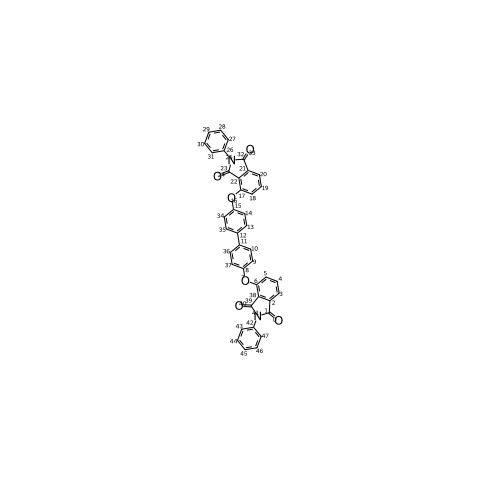 O=C1c2cccc(Oc3ccc(-c4ccc(Oc5cccc6c5C(=O)N(c5ccccc5)C6=O)cc4)cc3)c2C(=O)N1c1ccccc1